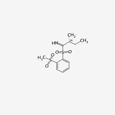 [CH2][C@H](CC)C(=N)S(=O)(=O)c1ccccc1S(C)(=O)=O